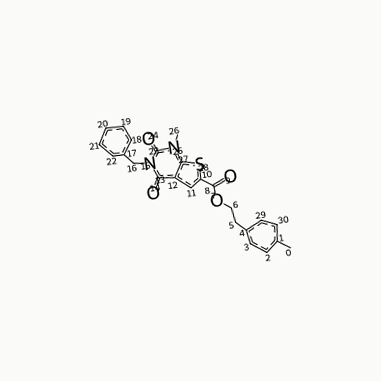 Cc1ccc(CCOC(=O)c2cc3c(=O)n(Cc4ccccc4)c(=O)n(C)c3s2)cc1